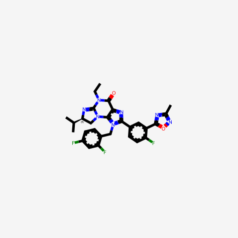 CCN1C(=O)c2nc(-c3ccc(F)c(-c4nc(C)no4)c3)n(Cc3ccc(F)cc3F)c2N2C[C@@H](C(C)C)N=C12